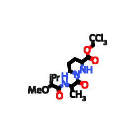 COC(C(=O)NC(C)C(=O)N1CCCC(C(=O)OCC(Cl)(Cl)Cl)N1)C(C)C